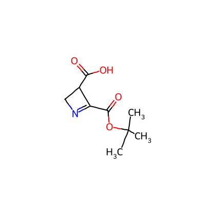 CC(C)(C)OC(=O)C1=NCC1C(=O)O